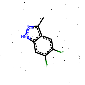 Cc1n[nH]c2cc(F)c(F)cc12